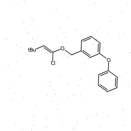 CC(C)(C)C=C(Cl)OCc1cccc(Oc2ccccc2)c1